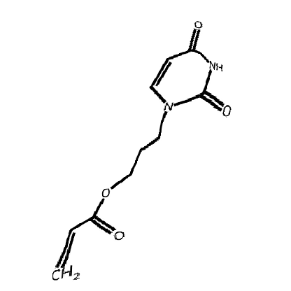 C=CC(=O)OCCCn1ccc(=O)[nH]c1=O